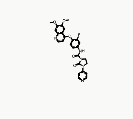 COc1cc2nccc(Oc3ccc(NC(=O)N4CCN(c5ccncc5)C4=O)cc3F)c2cc1OC